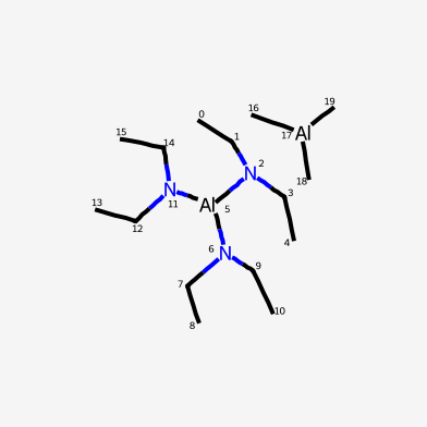 CC[N](CC)[Al]([N](CC)CC)[N](CC)CC.[CH3][Al]([CH3])[CH3]